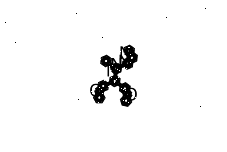 c1ccc(-c2nc(-c3cc(-c4ccc5oc6ccccc6c5c4)cc(-c4ccc5oc6ccccc6c5c4)c3)cc(-c3ccc4ccc5cccnc5c4n3)n2)cc1